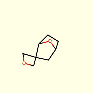 C1CC2OC1CC21COC1